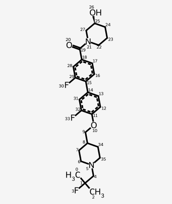 CC(C)(F)CN1CCC(COc2ccc(-c3ccc(C(=O)N4CCC[C@H](O)C4)cc3F)cc2F)CC1